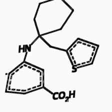 O=C(O)c1cc[c]c(NC2(Cc3cccs3)CCCCC2)c1